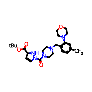 CC(C)(C)OC(=O)C1C=CN(C(=O)N2CCN(Cc3ccc(C(F)(F)F)cc3N3CCOCC3)CC2)N1